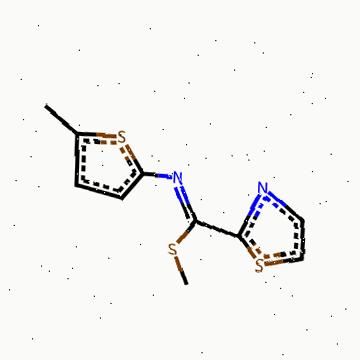 CS/C(=N\c1ccc(C)s1)c1nccs1